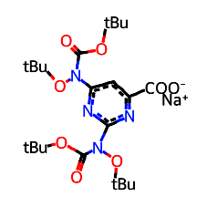 CC(C)(C)OC(=O)N(OC(C)(C)C)c1cc(C(=O)[O-])nc(N(OC(C)(C)C)C(=O)OC(C)(C)C)n1.[Na+]